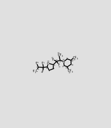 FC(C(F)(F)F)C(F)(F)C1CCC(C(F)(F)C(N2CC(C(F)(F)F)CC(C(F)(F)F)C2)C(F)(F)F)O1